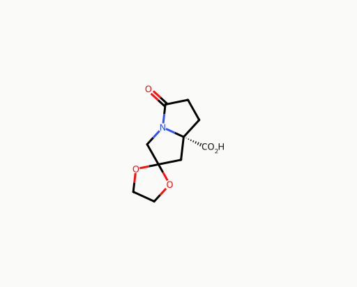 O=C1CC[C@@]2(C(=O)O)CC3(CN12)OCCO3